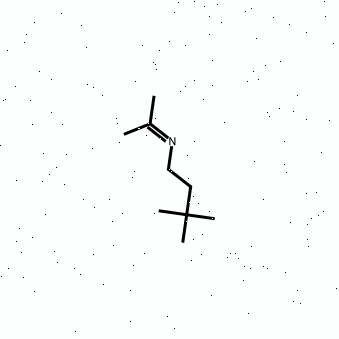 CC(C)=NCCC(C)(C)C